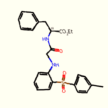 CCOC(=O)[C@H](Cc1ccccc1)NC(=O)CNc1ccccc1S(=O)(=O)c1ccc(C)cc1